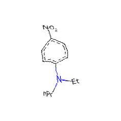 CCCN(CC)c1ccc([N+](=O)[O-])cc1